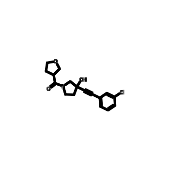 O=C(C1CCOC1)N1CCC(O)(C#Cc2cccc(Cl)c2)C1